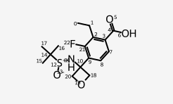 CCc1c(C(=O)O)ccc(C2(N[S+]([O-])C(C)(C)C)COC2)c1F